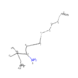 CCCCCCCCCCCCCCCC(N)C(C)(C)C(C)C